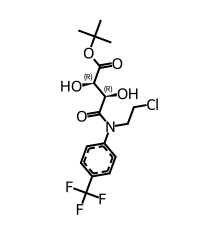 CC(C)(C)OC(=O)[C@H](O)[C@@H](O)C(=O)N(CCCl)c1ccc(C(F)(F)F)cc1